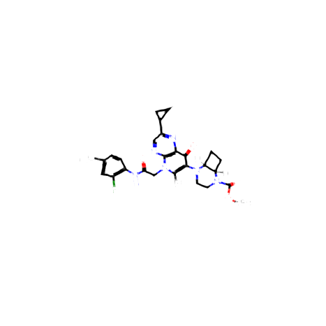 CCc1c(N2CCN(C(=O)OC(C)(C)C)[C@H]3CC[C@@H]32)c(=O)c2nc(C3CC3)cnc2n1CC(=O)Nc1ccc(C(F)(F)F)cc1F